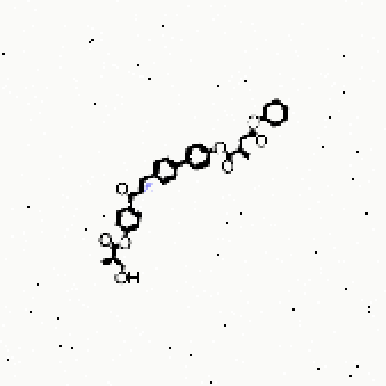 C=C(CO)C(=O)Oc1ccc(C(=O)/C=C/c2ccc(-c3ccc(OC(=O)C(=C)CC(=O)OC4CCCCC4)cc3)cc2)cc1